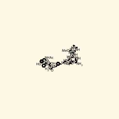 C=CNC(=C)NCC[C@H](NC(=O)[C@H]1NC(O)[C@@H]2C[C@@H](N)CN2C(=O)[C@H](CC(C)[C@H](C)O)N(C(=O)[C@@H](NC(=O)CCSCc2cccc(CSC[C@H](NC(=O)[C@@H](NC(=O)[C@@H](NC(=O)[C@H](Cc3ccc(O)cc3)NC(C)=O)C3CCCCC3)[C@@H](C)O)C(N)=O)c2)C(C)(C)C)[C@H]1O)C(=O)N[C@@H](CCC)C(N)OC